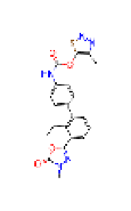 CCc1c(-c2ccc(NC(=O)Oc3snnc3C)cc2)cccc1-c1nn(C)c(=O)o1